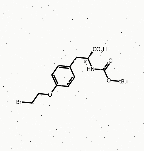 CC(C)(C)OC(=O)N[C@@H](Cc1ccc(OCCBr)cc1)C(=O)O